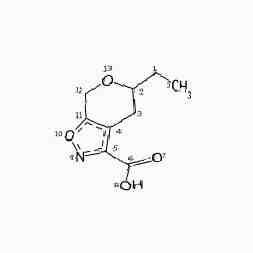 CCC1Cc2c(C(=O)O)noc2CO1